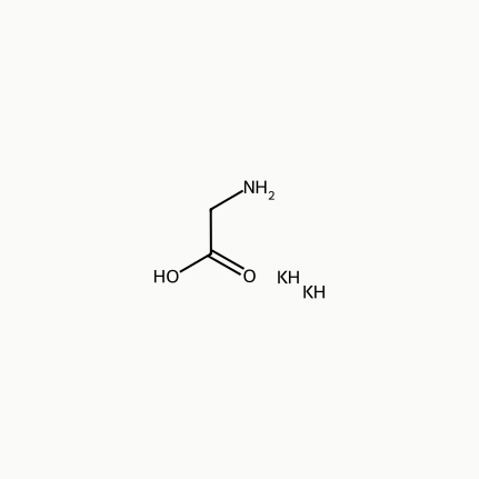 NCC(=O)O.[KH].[KH]